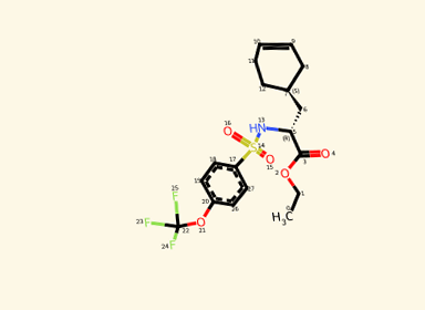 CCOC(=O)[C@@H](C[C@@H]1CC=CCC1)NS(=O)(=O)c1ccc(OC(F)(F)F)cc1